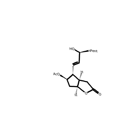 CCCCC[C@H](O)C=C[C@@H]1[C@H]2CC(=O)O[C@H]2C[C@H]1OC(C)=O